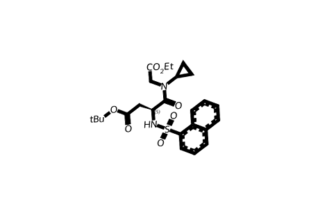 CCOC(=O)CN(C(=O)[C@H](CC(=O)OC(C)(C)C)NS(=O)(=O)c1cccc2ccccc12)C1CC1